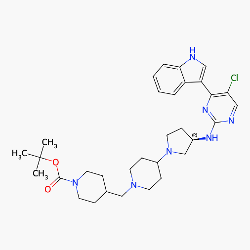 CC(C)(C)OC(=O)N1CCC(CN2CCC(N3CC[C@@H](Nc4ncc(Cl)c(-c5c[nH]c6ccccc56)n4)C3)CC2)CC1